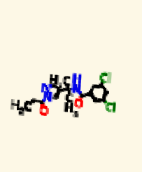 C=CC(=O)n1cc(C(C)(C)NC(=O)c2cc(Cl)cc(Cl)c2)cn1